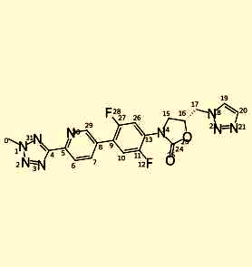 Cn1nnc(-c2ccc(-c3cc(F)c(N4C[C@H](Cn5ccnn5)OC4=O)cc3F)cn2)n1